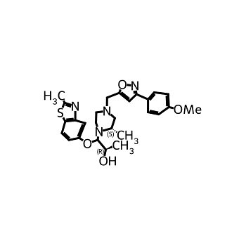 COc1ccc(-c2cc(CN3CCN(C(Oc4ccc5sc(C)nc5c4)[C@@H](C)O)[C@@H](C)C3)on2)cc1